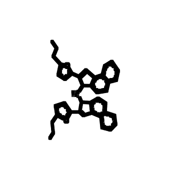 CCCc1ccc(C2=Cc3c(ccc4ccccc34)[CH]2[Hf][CH]2C(c3ccc(CCC)o3)=Cc3c2ccc2ccccc32)o1